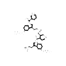 COc1ccc2c(c1)c(CCN(C)Cc1cnccc1C(=O)n1cc(CCN(C)C)c3cc(OC)ccc31)cn2C(=O)c1cccnc1